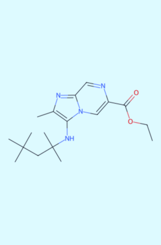 CCOC(=O)c1cn2c(NC(C)(C)CC(C)(C)C)c(C)nc2cn1